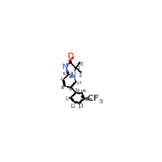 CC1(C)C(=O)N=C2C=CC(c3cccc(C(F)(F)F)c3)=CN21